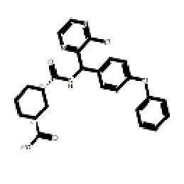 O=C(O)[C@H]1CCC[C@H](C(=O)NC(c2ccc(Oc3ccccc3)cc2)c2nccnc2Cl)C1